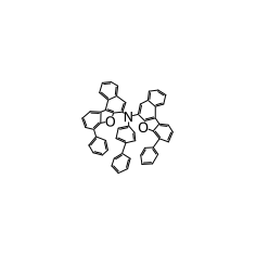 c1ccc(-c2ccc(N(c3cc4ccccc4c4c3oc3c(-c5ccccc5)cccc34)c3cc4ccccc4c4c3oc3c(-c5ccccc5)cccc34)cc2)cc1